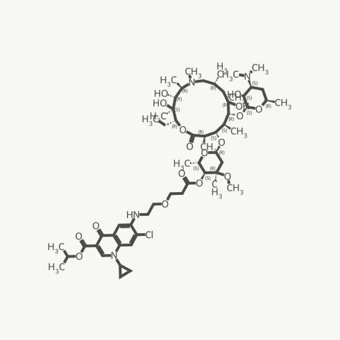 CC[C@H]1OC(=O)[C@H](C)[C@@H](O[C@H]2C[C@@](C)(OC)[C@@H](OC(=O)CCOCCNc3cc4c(=O)c(C(=O)OC(C)C)cn(C5CC5)c4cc3Cl)[C@H](C)O2)[C@H](C)[C@@H](O[C@@H]2O[C@H](C)C[C@H](N(C)C)[C@@H]2O)[C@](C)(O)C[C@@H](C)CN(C)[C@H](C)[C@@H](O)[C@]1(C)O